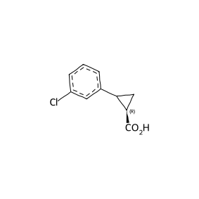 O=C(O)[C@@H]1CC1c1cccc(Cl)c1